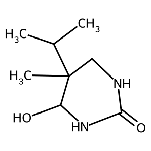 CC(C)C1(C)CNC(=O)NC1O